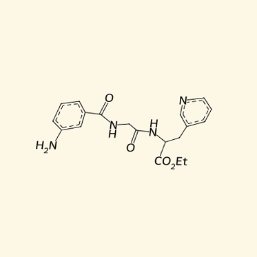 CCOC(=O)C(Cc1cccnc1)NC(=O)CNC(=O)c1cccc(N)c1